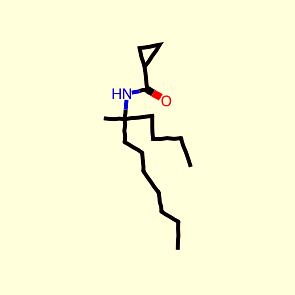 CCCCCCCC(C)(CCCC)NC(=O)C1CC1